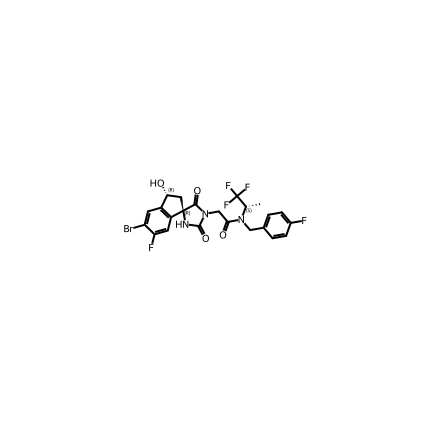 C[C@H](N(Cc1ccc(F)cc1)C(=O)CN1C(=O)N[C@@]2(C[C@@H](O)c3cc(Br)c(F)cc32)C1=O)C(F)(F)F